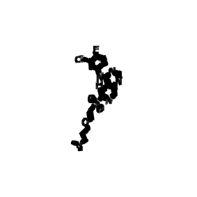 CN(C)CCCOC=CS(=O)(=O)c1cc2c(Nc3ccc(F)c(Cl)c3)ncnc2cn1